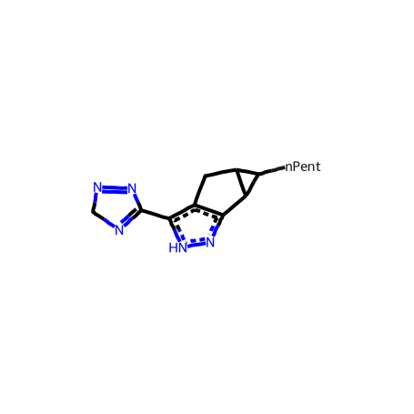 CCCCCC1C2Cc3c(n[nH]c3C3=NCN=N3)C12